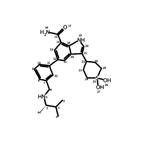 CC(C)[C@H](C)NCc1cccc(-c2cc(C(N)=O)c3[nH]cc(C4CCS(O)(O)CC4)c3c2)c1